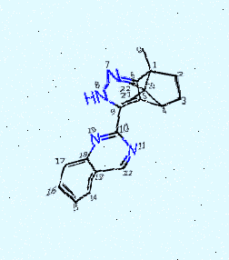 CC12CCC(c3c1n[nH]c3-c1ncc3ccccc3n1)C2(C)C